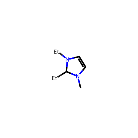 [CH2]CC1N(C)C=CN1CC